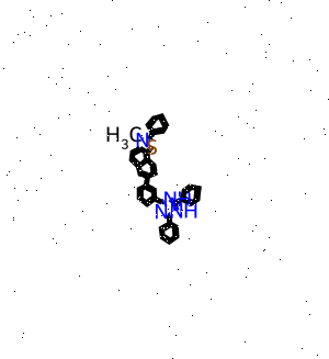 CN1c2ccc3cc(-c4cccc(C5N=C(c6ccccc6)NC(c6ccccc6)N5)c4)ccc3c2SC1c1ccccc1